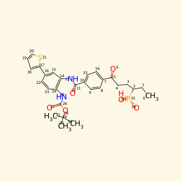 CCC(CCC(=O)c1ccc(C(=O)Nc2cc(-c3cccs3)ccc2NC(=O)OC(C)(C)C)cc1)[PH](=O)O